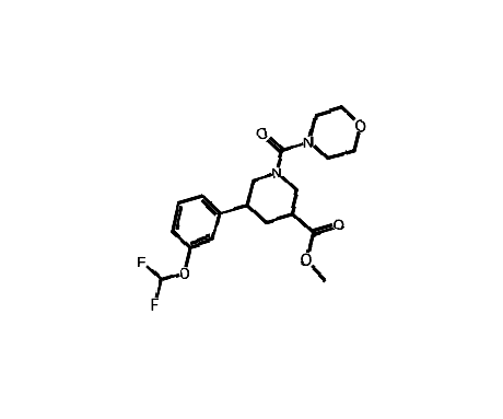 COC(=O)C1CC(c2cccc(OC(F)F)c2)CN(C(=O)N2CCOCC2)C1